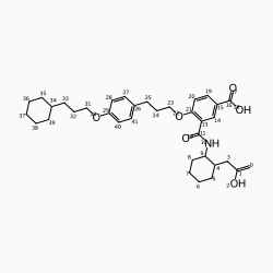 C=C(O)CC1CCCCC1NC(=O)c1cc(C(=O)O)ccc1OCCCc1ccc(OCCCC2CCCCC2)cc1